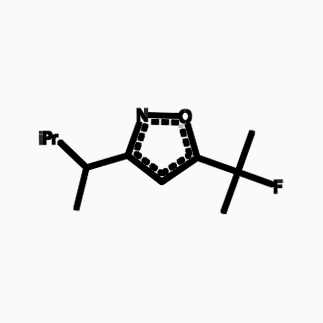 CC(C)C(C)c1cc(C(C)(C)F)on1